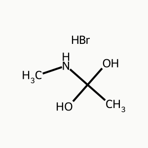 Br.CNC(C)(O)O